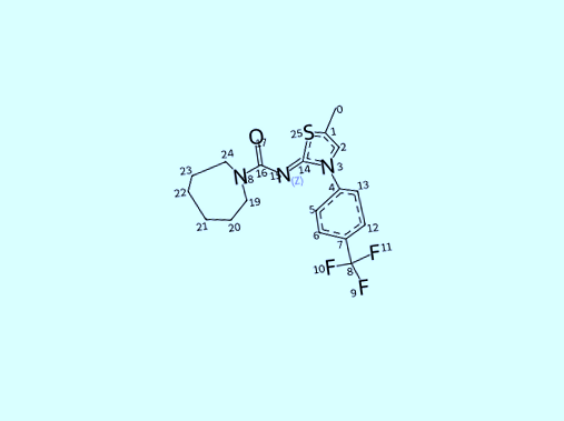 Cc1cn(-c2ccc(C(F)(F)F)cc2)/c(=N/C(=O)N2CCCCCC2)s1